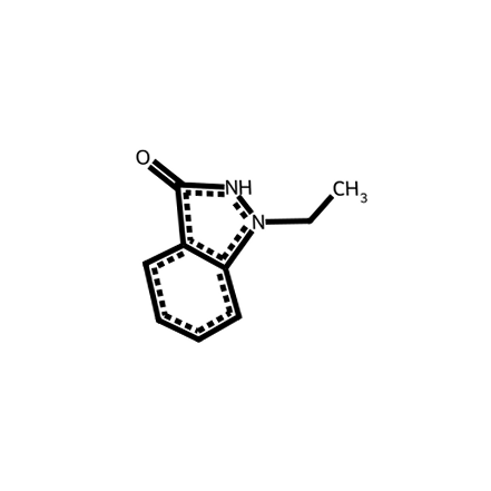 CCn1[nH]c(=O)c2ccccc21